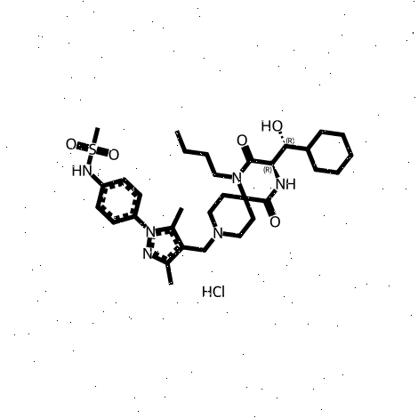 CCCCN1C(=O)[C@@H]([C@H](O)C2CCCCC2)NC(=O)C12CCN(Cc1c(C)nn(-c3ccc(NS(C)(=O)=O)cc3)c1C)CC2.Cl